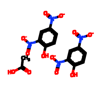 CC(=O)O.O=[N+]([O-])c1ccc(O)c([N+](=O)[O-])c1.O=[N+]([O-])c1ccc(O)c([N+](=O)[O-])c1